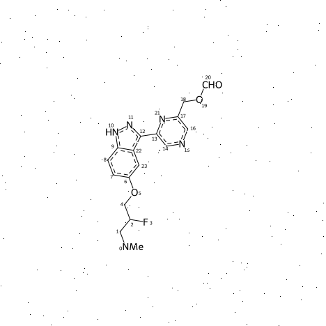 CNCC(F)COc1ccc2[nH]nc(-c3cncc(COC=O)n3)c2c1